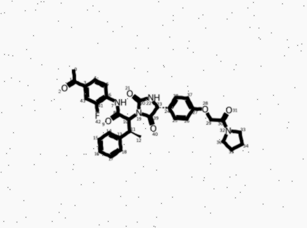 CC(=O)c1ccc(NC(=O)C([C@@H](C)c2ccccc2)N2C(=O)N[C@H](c3ccc(OCC(=O)N4CCCC4)cc3)C2=O)c(F)c1